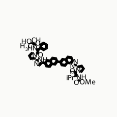 COC(=O)N[C@H](C(=O)N1CCC[C@H]1c1nc2ccc3cc(-c4ccc5cc(-c6cnc([C@@H]7CCCN7C(=O)[C@H](NC(=O)C(C)(C)O)c7ccccc7)[nH]6)ccc5c4)ccc3c2[nH]1)C(C)C